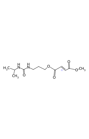 COC(=O)/C=C/C(=O)OCCCNC(=O)NC(C)C